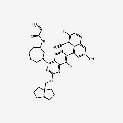 C#Cc1c(F)ccc2cc(O)cc(-c3ncc4c(N5CCCC[C@@H](NC(=O)C=C)C5)nc(OCC56CCCN5CCC6)nc4c3F)c12